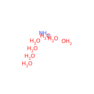 N.O.O.O.O.O.O.O